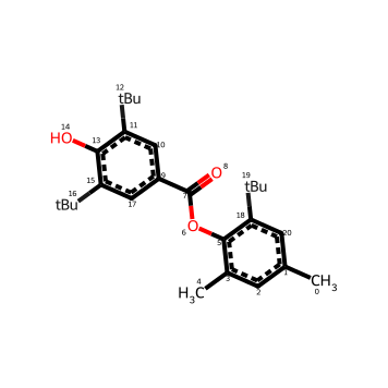 Cc1cc(C)c(OC(=O)c2cc(C(C)(C)C)c(O)c(C(C)(C)C)c2)c(C(C)(C)C)c1